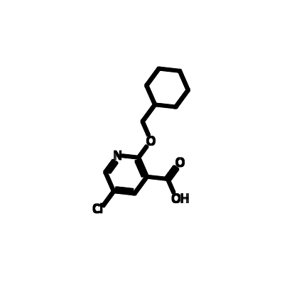 O=C(O)c1cc(Cl)cnc1OCC1CCCCC1